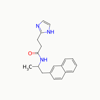 CC(Cc1ccc2ccccc2c1)NC(=O)CCc1ncc[nH]1